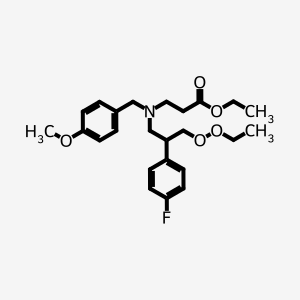 CCOOCC(CN(CCC(=O)OCC)Cc1ccc(OC)cc1)c1ccc(F)cc1